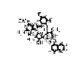 COc1nc(N)nc2c1nc(I)n2[C@@H]1O[C@H](COP(=O)(NC(C)C(=O)OCc2ccc(F)cc2F)Oc2cccc3ncccc23)[C@@H](O)[C@@]1(C)O